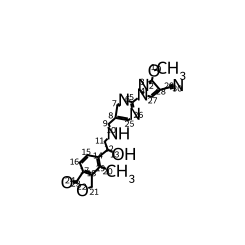 COc1nn(-c2ncc(CNCC(O)c3ccc4c(c3C)COC4=O)cn2)cc1C#N